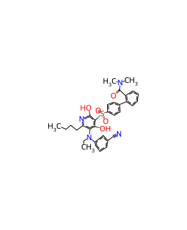 CCCCc1nc(O)c(S(=O)(=O)c2ccc(-c3ccccc3C(=O)N(C)C)cc2)c(O)c1N(CC)c1cccc(C#N)c1